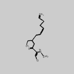 C=CCC/C=C\CC(CC)CC(=O)/C(=C/Cl)NC